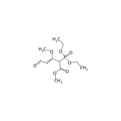 CCOP(=O)(OCC)C(C(=O)OC)C(=CC=O)OC